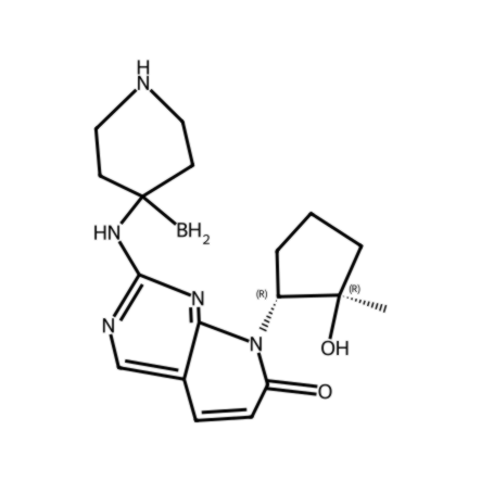 BC1(Nc2ncc3ccc(=O)n([C@@H]4CCC[C@@]4(C)O)c3n2)CCNCC1